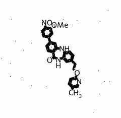 COc1cc(-c2ccc3c(c2)Nc2ccc(CCOc4ccc(C)cn4)cc2NC3=O)ccc1[N+](=O)[O-]